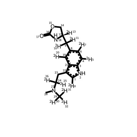 [2H]c1[nH]c2c([2H])c([2H])c(C([2H])([2H])[C@@]3([2H])COC(=O)N3)c([2H])c2c1CC([2H])([2H])N(C)C([2H])([2H])[2H]